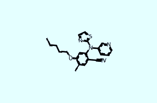 CCCCCOc1cc(N(c2cccnc2)c2nccs2)c(C#N)cc1C